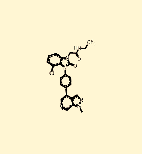 Cn1ncc2c(-c3ccc(-n4c(=O)n(CC(=O)NCC(F)(F)F)c5cccc(Cl)c54)cc3)cncc21